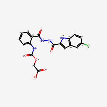 O=C(O)COC(=O)Nc1ccccc1C(=O)NNC(=O)c1cc2cc(Cl)ccc2[nH]1